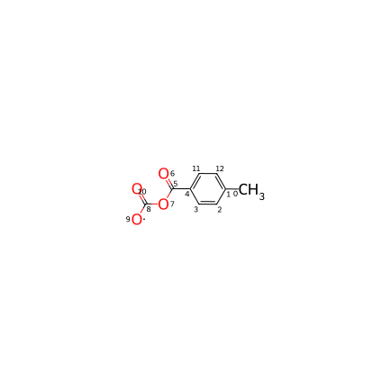 Cc1ccc(C(=O)OC([O])=O)cc1